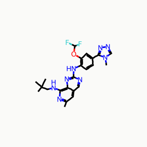 Cc1cc2cnc(Nc3ccc(-c4nncn4C)cc3OC(F)F)nc2c(NCC(C)(C)C)n1